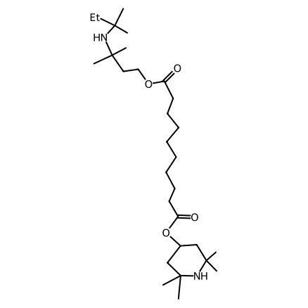 CCC(C)(C)NC(C)(C)CCOC(=O)CCCCCCCCC(=O)OC1CC(C)(C)NC(C)(C)C1